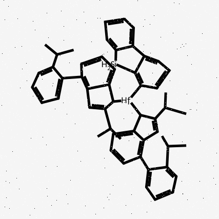 CC(C)C1=Cc2c(-c3ccccc3C(C)C)cccc2[CH]1[Hf]([c]1cccc2c1[SiH2]c1ccccc1-2)[CH]1C(C(C)C)=Cc2c(-c3ccccc3C(C)C)cccc21